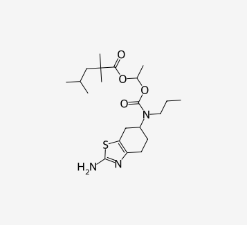 CCCN(C(=O)OC(C)OC(=O)C(C)(C)CC(C)C)C1CCc2nc(N)sc2C1